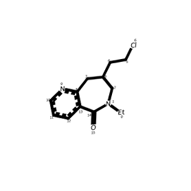 CCN1CC(CCCl)Cc2ncccc2C1=O